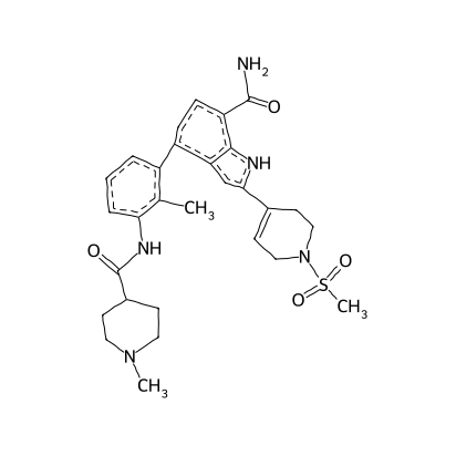 Cc1c(NC(=O)C2CCN(C)CC2)cccc1-c1ccc(C(N)=O)c2[nH]c(C3=CCN(S(C)(=O)=O)CC3)cc12